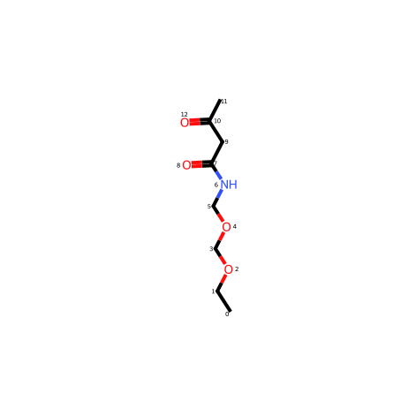 CCOCOCNC(=O)CC(C)=O